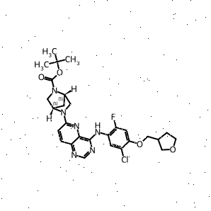 CC(C)(C)OC(=O)N1C[C@@H]2C[C@H]1CN2c1ccc2ncnc(Nc3cc(Cl)c(OCC4CCOC4)cc3F)c2n1